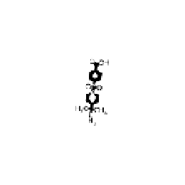 CC(C)(C)C1CCN(S(=O)(=O)c2ccc(C(=O)O)cc2)CC1